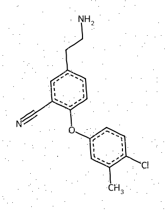 Cc1cc(Oc2ccc(CCN)cc2C#N)ccc1Cl